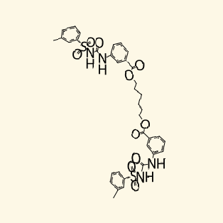 Cc1cccc(S(=O)(=O)NC(=O)Nc2cccc(C(=O)OCCCCCCOC(=O)c3cccc(NC(=O)NS(=O)(=O)c4cccc(C)c4)c3)c2)c1